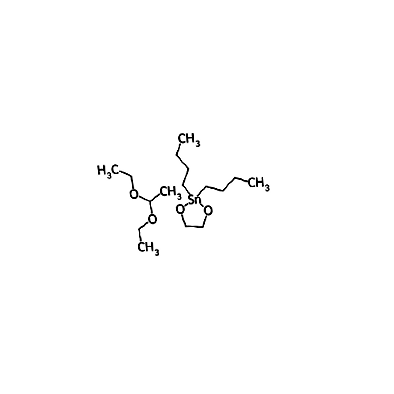 CCC[CH2][Sn]1([CH2]CCC)[O]CC[O]1.CCOC(C)OCC